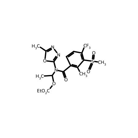 CCOC(=O)OC(C)N(C(=O)c1ccc(C(F)(F)F)c(S(C)(=O)=O)c1C)c1nnc(C)o1